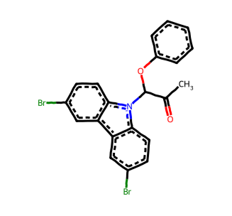 CC(=O)C(Oc1ccccc1)n1c2ccc(Br)cc2c2cc(Br)ccc21